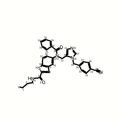 CCCCNC(=O)c1cc2cc(N(Cc3cncn3Cc3ccc(C#N)cc3)C(=O)c3ccccc3)ccc2s1